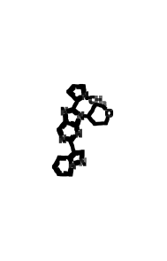 Cn1cccc1-c1nc2cnc(-c3cnn4ccccc34)nc2n1C1CCOCC1